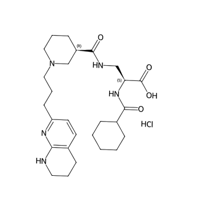 Cl.O=C(N[C@@H](CNC(=O)[C@@H]1CCCN(CCCc2ccc3c(n2)NCCC3)C1)C(=O)O)C1CCCCC1